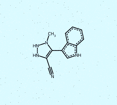 CN1NNC(C#N)=C1c1c[nH]c2ccccc12